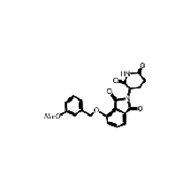 COc1cccc(COc2cccc3c2C(=O)N(C2CCC(=O)NC2=O)C3=O)c1